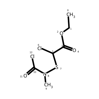 CCOC(=O)C(Cl)SN(C)C(=O)Cl